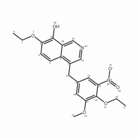 CCOc1ccc2c(Cc3cc(OC)c(OCC)c([N+](=O)[O-])c3)cncc2c1O